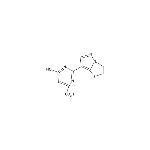 O=C(O)c1cc(O)nc(-c2cnn3ccsc23)n1